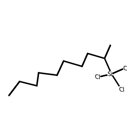 CCCCCCCCC(C)[Si](Cl)(Cl)Cl